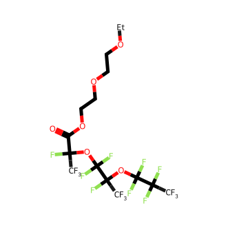 CCOCCOCCOC(=O)C(F)(OC(F)(F)C(F)(OC(F)(F)C(F)(F)C(F)(F)F)C(F)(F)F)C(F)(F)F